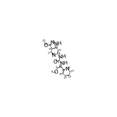 COC[C@@H](NC(=O)Nc1cc2[nH]nc(OC)c2cn1)c1ccccn1